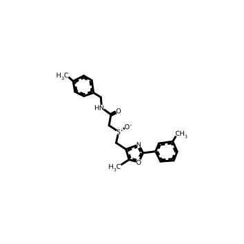 Cc1ccc(CNC(=O)C[S+]([O-])Cc2nc(-c3cccc(C)c3)oc2C)cc1